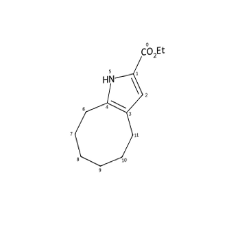 CCOC(=O)c1cc2c([nH]1)CCCCCC2